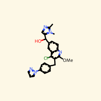 COc1nc2ccc(C(O)c3cnc(C)n3C)cc2c(Cl)c1Cc1ccc(-n2cccn2)cc1